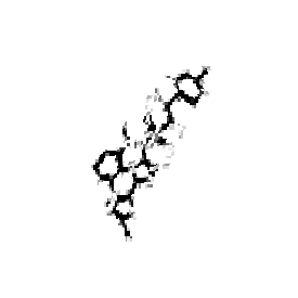 COc1cccc(OC)c1-n1c(NS(=O)(=O)[C@@H](C)[C@H](O)c2cnc(C)cn2)nnc1-c1ccc(C)o1